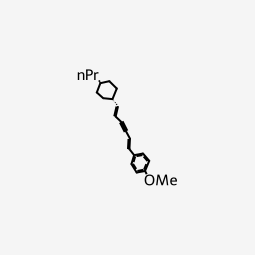 CCC[C@H]1CC[C@H](C=CC#CC=Cc2ccc(OC)cc2)CC1